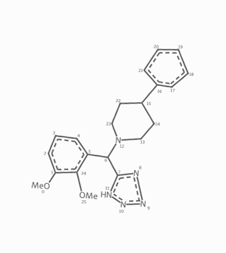 COc1cccc(C(c2nnn[nH]2)N2CCC(c3ccccc3)CC2)c1OC